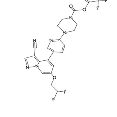 N#Cc1cnn2cc(OCC(F)F)cc(-c3ccc(N4CCN(C(=O)OC(=O)C(F)(F)F)CC4)nc3)c12